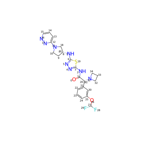 O=C(Nc1nnc(N[C@@H]2CCN(c3cccnn3)C2)s1)[C@@H](c1cccc(OC(F)F)c1)N1CCC1